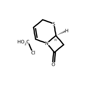 O=C(O)Cl.O=C1C[C@@H]2SCC=CN12